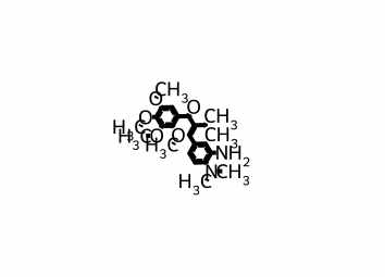 COc1cc(C(=O)C(=Cc2ccc(N(C)C)c(N)c2)C(C)C)c(OC)c(OC)c1OC